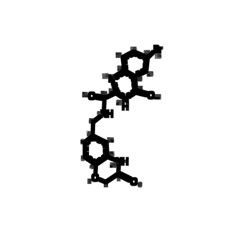 O=C1COc2ccc(CNC(=O)c3nc4ccc(Br)cc4c(=O)[nH]3)cc2N1